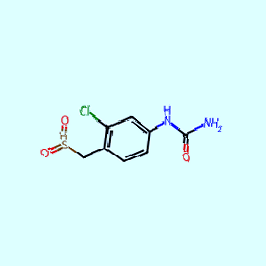 NC(=O)Nc1ccc(C[SH](=O)=O)c(Cl)c1